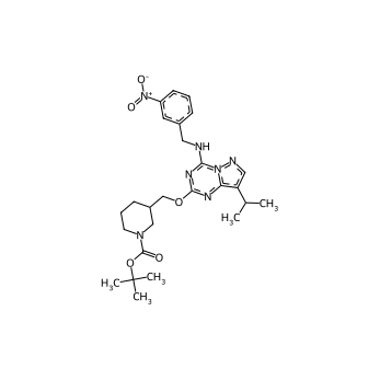 CC(C)c1cnn2c(NCc3cccc([N+](=O)[O-])c3)nc(OCC3CCCN(C(=O)OC(C)(C)C)C3)nc12